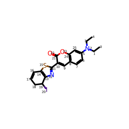 CCN(CC)c1ccc2cc(-c3nc4c(s3)C=CCC4I)c(=O)oc2c1